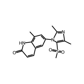 Cc1nc(C)n(-c2cc(C)c3[nH]c(=O)ccc3c2)c1S(C)(=O)=O